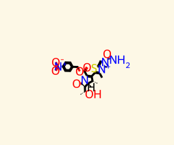 Cc1c(C2=C(C(=O)OCc3ccc([N+](=O)[O-])cc3)N3C(=O)[C@H]([C@@H](C)O)[C@H]3[C@H]2C)sc2cn(C(N)=O)c[n+]12